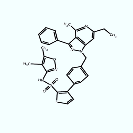 CCc1cc2c(c(C)n1)c(-c1ccccc1)nn2Cc1ccc(-c2ccsc2S(=O)(=O)Nc2noc(C)c2C)cc1